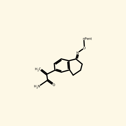 C=C(C(N)=O)c1ccc2c(c1)CCCC2=NOCCCCC